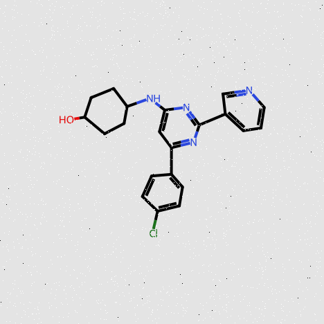 OC1CCC(Nc2cc(-c3ccc(Cl)cc3)nc(-c3cccnc3)n2)CC1